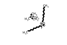 CCCCCCCCCCCOS(=O)(=O)C(F)CCCCCCCCCC.CC[N+](CC)(CC)CC